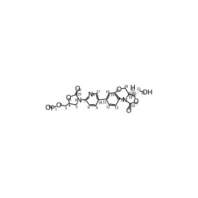 O=POCC1CN(c2ccc(-c3ccc4c(c3)OC[C@H]3[C@H](CO)OC(=O)N43)cn2)C(=O)O1